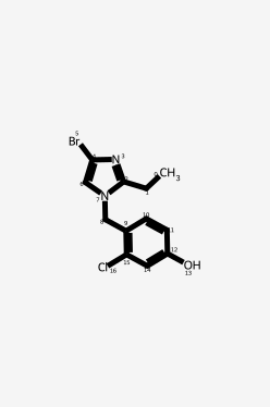 CCc1nc(Br)cn1Cc1ccc(O)cc1Cl